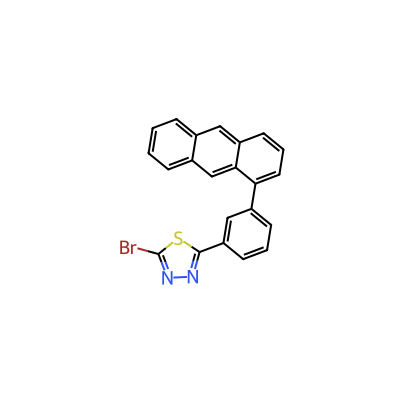 Brc1nnc(-c2cccc(-c3cccc4cc5ccccc5cc34)c2)s1